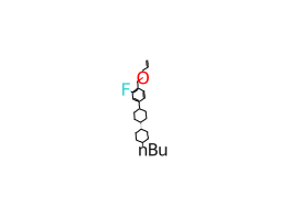 C=CCOCc1ccc(C2CCC([C@H]3CC[C@H](CCCC)CC3)CC2)cc1F